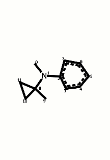 CN(c1ccccc1)C1(C)CC1